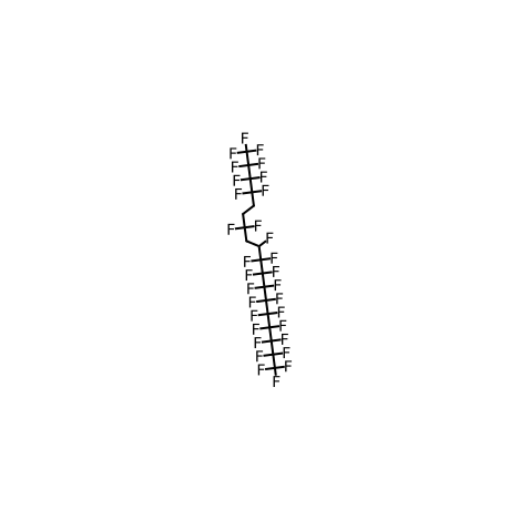 FC(CC(F)(F)CCC(F)(F)C(F)(F)C(F)(F)C(F)(F)F)C(F)(F)C(F)(F)C(F)(F)C(F)(F)C(F)(F)C(F)(F)C(F)(F)C(F)(F)C(F)(F)F